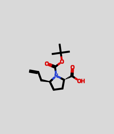 C=CC[C@@H]1CC[C@@H](C(=O)O)N1C(=O)OC(C)(C)C